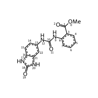 COC(=O)c1ccccc1NC(=O)Nc1ccc2[nH]c(=O)[nH]c2c1